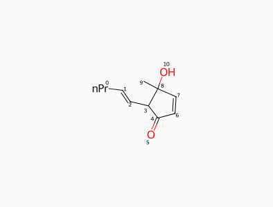 CCCC=CC1C(=O)C=CC1(C)O